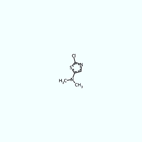 CN(C)c1cnc(Cl)s1